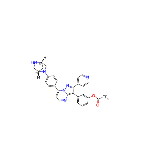 O=C(Oc1cccc(-c2c(-c3ccncc3)nn3c(-c4ccc(N5C[C@@H]6C[C@H]5CN6)cc4)ccnc23)c1)C(F)(F)F